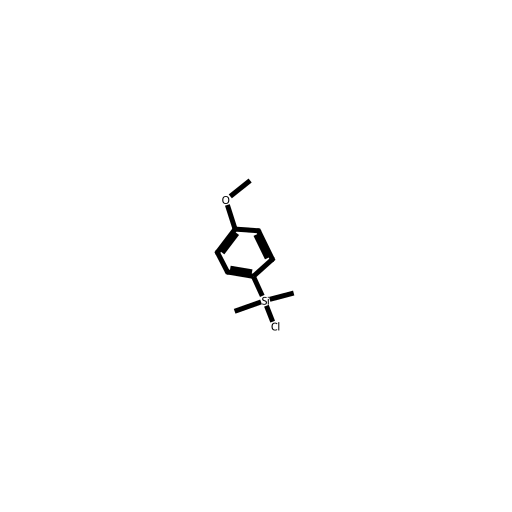 COc1ccc([Si](C)(C)Cl)cc1